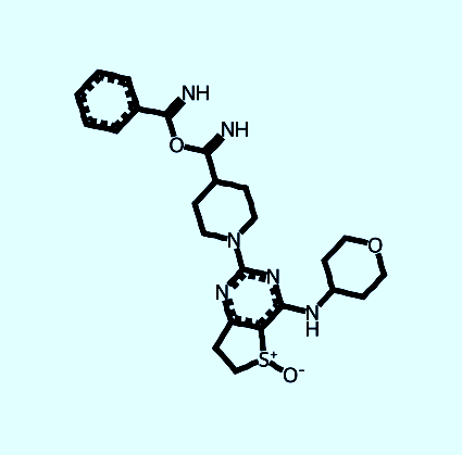 N=C(OC(=N)C1CCN(c2nc3c(c(NC4CCOCC4)n2)[S+]([O-])CC3)CC1)c1ccccc1